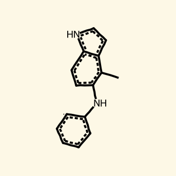 Cc1c(Nc2[c]cccc2)ccc2[nH]ccc12